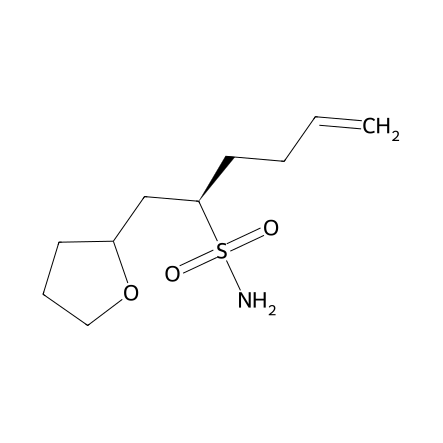 C=CCC[C@H](CC1CCCO1)S(N)(=O)=O